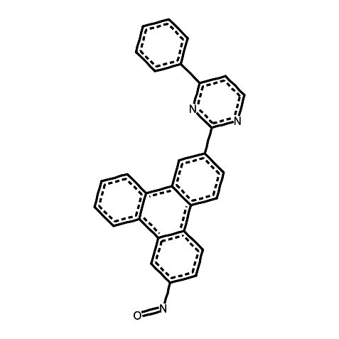 O=Nc1ccc2c3ccc(-c4nccc(-c5ccccc5)n4)cc3c3ccccc3c2c1